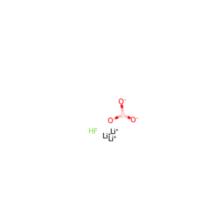 F.[Li+].[Li+].[Li+].[O-]B([O-])[O-]